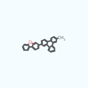 Cc1ccc2c3ccc(-c4ccc5c(c4)oc4ccccc45)cc3c3ccccc3c2c1